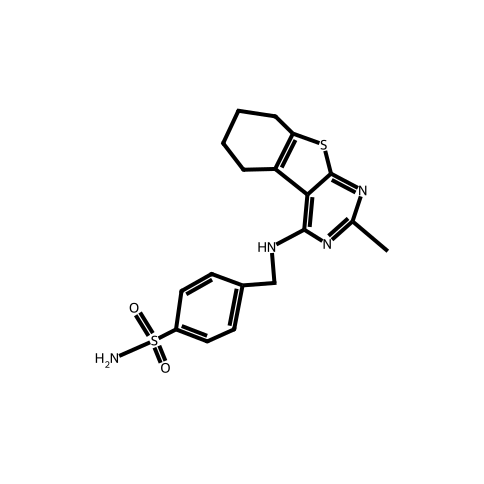 Cc1nc(NCc2ccc(S(N)(=O)=O)cc2)c2c3c(sc2n1)CCCC3